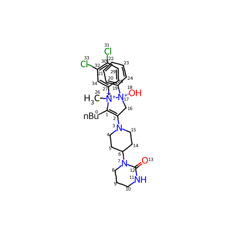 CCCCC1=C(N2CCC(N3CCCNC3=O)CC2)C[N+](O)(c2ccccc2)[N+]1(C)c1ccc(Cl)c(Cl)c1